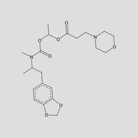 CC(OC(=O)CCN1CCOCC1)OC(=O)N(C)C(C)Cc1ccc2c(c1)OCO2